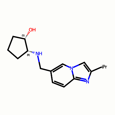 CC(C)c1cn2cc(CN[C@@H]3CCC[C@@H]3O)ccc2n1